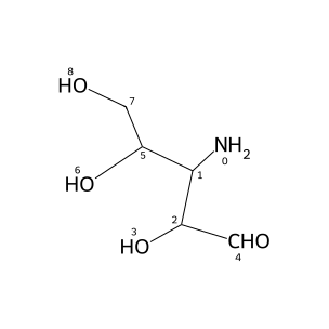 NC(C(O)C=O)C(O)CO